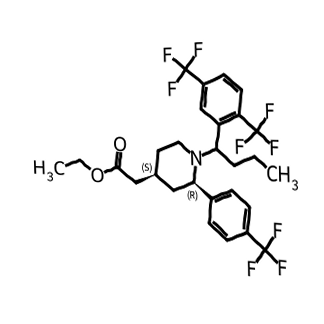 CCCC(c1cc(C(F)(F)F)ccc1C(F)(F)F)N1CC[C@H](CC(=O)OCC)C[C@@H]1c1ccc(C(F)(F)F)cc1